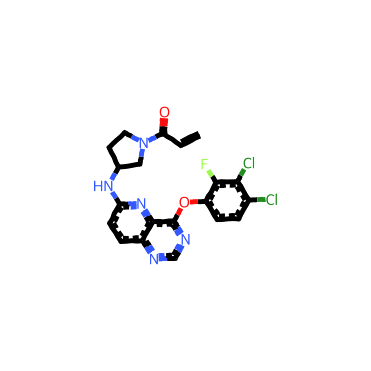 C=CC(=O)N1CCC(Nc2ccc3ncnc(Oc4ccc(Cl)c(Cl)c4F)c3n2)C1